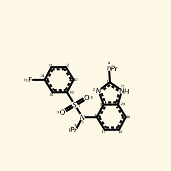 CCCc1nc2c(N(C(C)C)S(=O)(=O)c3cccc(F)c3)cccc2[nH]1